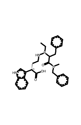 CCN(NCC[C@H](C(=O)O)c1c[nH]c2ccccc12)C(Cc1ccccc1)C(=O)N(C)Cc1ccccc1